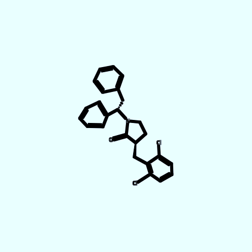 O=C1[C@H](Cc2c(Cl)cccc2Cl)CCN1[C@@H](Cc1ccccc1)c1ccccc1